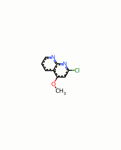 COc1cc(Cl)nc2ncccc12